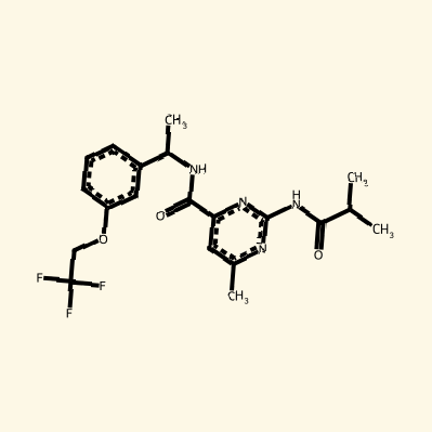 Cc1cc(C(=O)NC(C)c2cccc(OCC(F)(F)F)c2)nc(NC(=O)C(C)C)n1